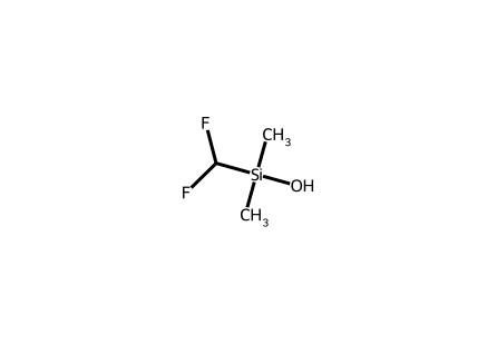 C[Si](C)(O)C(F)F